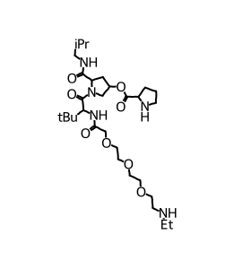 CCNCCOCCOCCOCC(=O)NC(C(=O)N1CC(OC(=O)C2CCCN2)CC1C(=O)NCC(C)C)C(C)(C)C